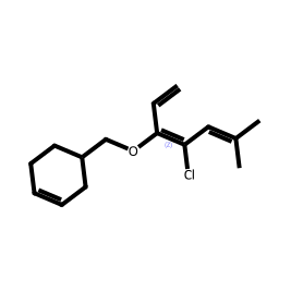 C=C/C(OCC1CC=CCC1)=C(/Cl)C=C(C)C